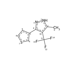 Cc1[nH]nc(-c2[c]scc2)c1C(F)(F)F